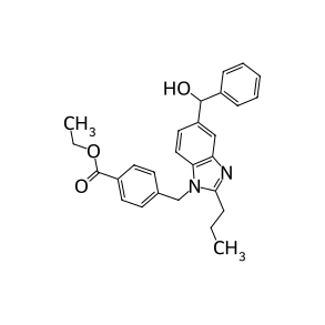 CCCc1nc2cc(C(O)c3ccccc3)ccc2n1Cc1ccc(C(=O)OCC)cc1